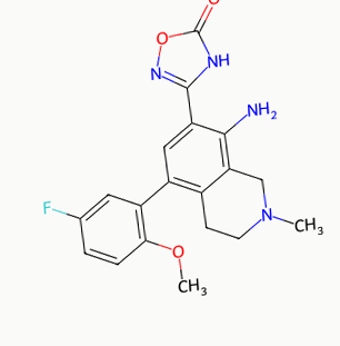 COc1ccc(F)cc1-c1cc(-c2noc(=O)[nH]2)c(N)c2c1CCN(C)C2